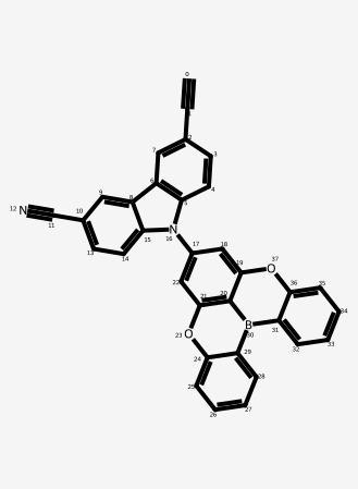 C#Cc1ccc2c(c1)c1cc(C#N)ccc1n2-c1cc2c3c(c1)Oc1ccccc1B3c1ccccc1O2